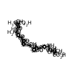 CC1(C)SC2C(NC(=O)C(N)c3ccc(OC(=O)c4cc(=O)c5c(OCC(O)COc6cccc7oc(C(=O)Oc8ccc(C(N)C(=O)NC9C(=O)N%10C9SC(C)(C)C%10C(=O)O)cc8)cc(=O)c67)cccc5o4)cc3)C(=O)N2C1C(=O)O